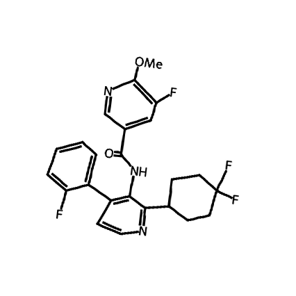 COc1ncc(C(=O)Nc2c(-c3ccccc3F)ccnc2C2CCC(F)(F)CC2)cc1F